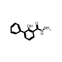 NNC(=O)c1cccc(-c2ccccc2)c1O